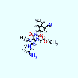 CCOC(=O)Cn1c(=O)n(Cc2ccc(C#N)c3ccccc23)c(=O)c2c1nc(N1CCCC(N)C1)n2CC